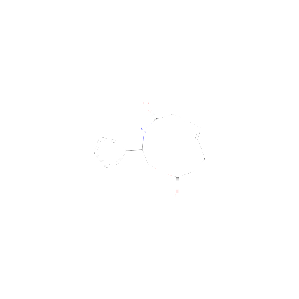 O=C1CC/C=C/CCC(=O)OCC(c2ccccc2)N1